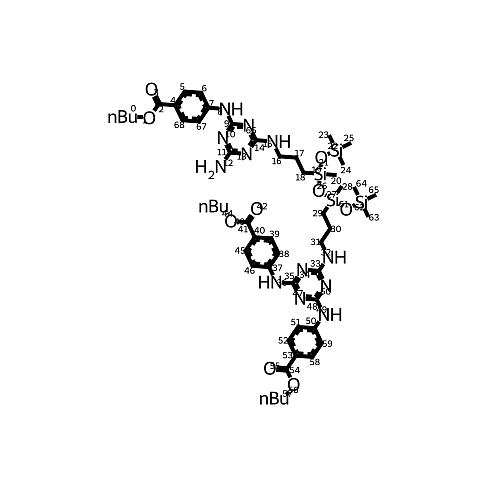 CCCCOC(=O)c1ccc(Nc2nc(N)nc(NCCC[Si](C)(O[Si](C)(C)C)O[Si](C)(CCCNc3nc(Nc4ccc(C(=O)OCCCC)cc4)nc(Nc4ccc(C(=O)OCCCC)cc4)n3)O[Si](C)(C)C)n2)cc1